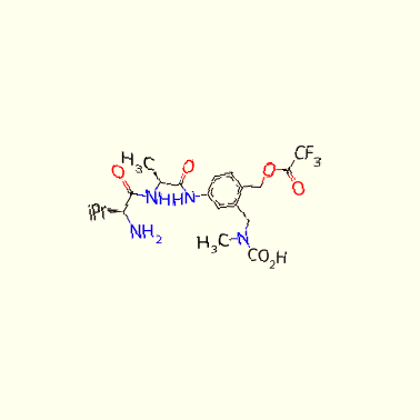 CC(C)[C@H](N)C(=O)N[C@@H](C)C(=O)Nc1ccc(COC(=O)C(F)(F)F)c(CN(C)C(=O)O)c1